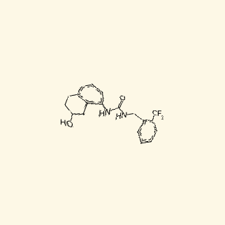 O=C(NCc1ccccc1C(F)(F)F)Nc1cccc2c1CC(O)CC2